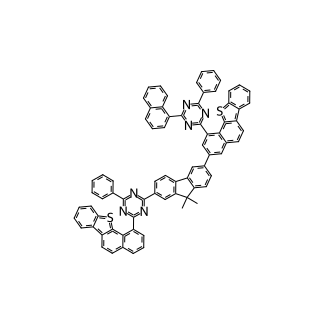 CC1(C)c2ccc(-c3cc(-c4nc(-c5ccccc5)nc(-c5cccc6ccccc56)n4)c4c(ccc5c6ccccc6sc54)c3)cc2-c2ccc(-c3nc(-c4ccccc4)nc(-c4cccc5ccc6c7ccccc7sc6c45)n3)cc21